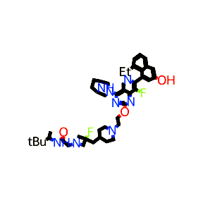 CCc1cccc2cc(O)cc(-c3ncc4c(N5CC6CCC(C5)N6)nc(OCCN5CCC(CC6(F)CN(CC(=O)NC(C)C(C)(C)C)C6)CC5)nc4c3F)c12